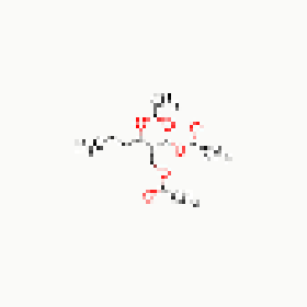 CCCC(OC(C)=O)C(COC(C)=O)COC(C)=O